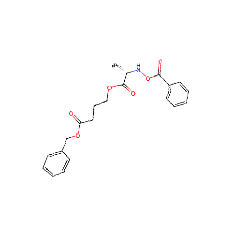 CC(C)[C@H](NOC(=O)c1ccccc1)C(=O)OCCCC(=O)OCc1ccccc1